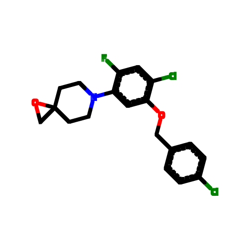 Fc1cc(Cl)c(OCc2ccc(Cl)cc2)cc1N1CCC2(CC1)CO2